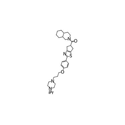 CC(C)N1CCN(CCCOc2ccc(-c3nc4c(s3)CC(C(=O)N3CCC5CCCCC5C3)C4)cc2)CC1